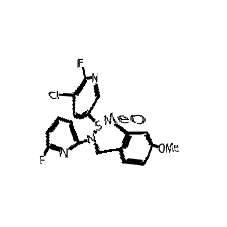 COc1ccc(CN(Sc2cnc(F)c(Cl)c2)c2cccc(F)n2)c(OC)c1